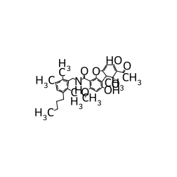 CCCCc1cc(C)c(C)c(CNC(=O)c2c(OC)cc(O)c3c2OC2=CC(O)=C(C(C)=O)C(=O)[C@]23C)c1C